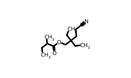 CCC(C)C(=O)OCC(CC)(CC)CCC#N